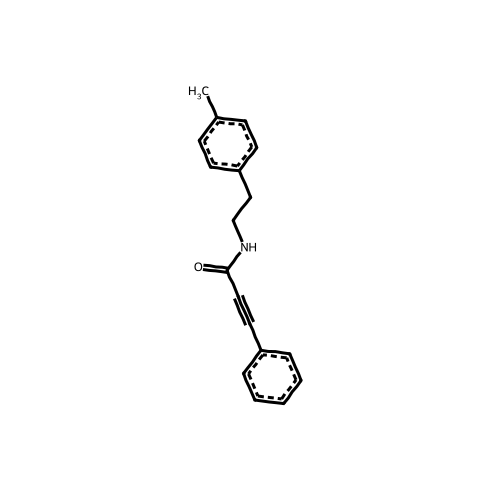 Cc1ccc(CCNC(=O)C#Cc2ccccc2)cc1